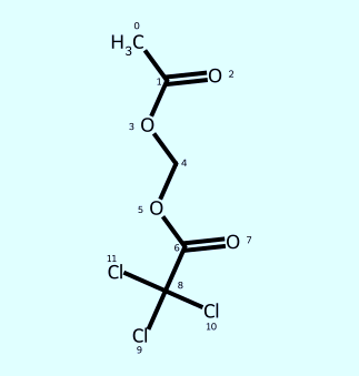 CC(=O)OCOC(=O)C(Cl)(Cl)Cl